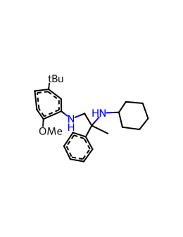 COc1ccc(C(C)(C)C)cc1NCC(C)(NC1CCCCC1)c1ccccc1